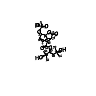 CCC(C)C(=O)OC1C2CC3C1OC(=O)C3C2C(=O)OC(CC(C)(C)O)C(C)(C)O